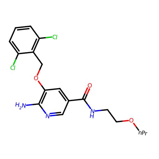 CCCOCCNC(=O)c1cnc(N)c(OCc2c(Cl)cccc2Cl)c1